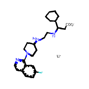 O=C([O-])CC(NCCNC1CCN(c2nccc3ccc(F)cc23)CC1)C1CCCCC1.[Li+]